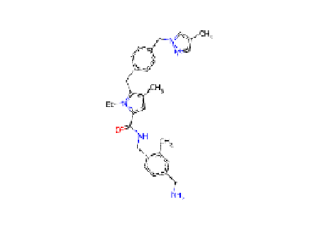 CCn1c(C(=O)NCc2ccc(CN)cc2C)cc(C)c1Cc1ccc(Cn2cc(C)cn2)cc1